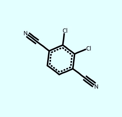 N#Cc1ccc(C#N)c(Cl)c1Cl